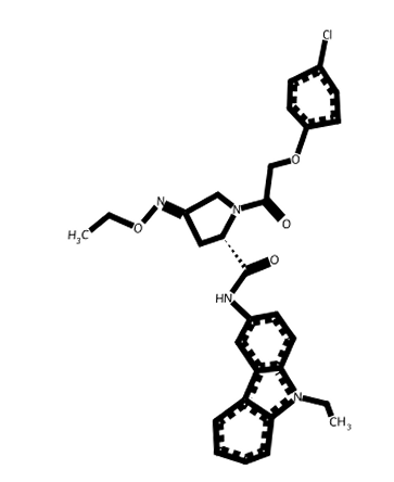 CCO/N=C1\C[C@@H](C(=O)Nc2ccc3c(c2)c2ccccc2n3CC)N(C(=O)COc2ccc(Cl)cc2)C1